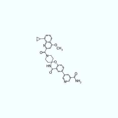 COc1cc(C(=O)N2CCC3(CC2)NC(=O)c2cc(-c4cncc(C(N)=O)c4)ccc2O3)nc2c(C3CC3)cccc12